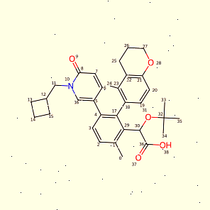 Cc1ccc(-c2ccc(=O)n(CC3CCC3)c2)c(-c2ccc3c(c2C)CCCO3)c1C(OC(C)(C)C)C(=O)O